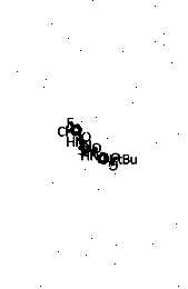 CC(C)(C)OC(=O)N1CCC(NC(=O)c2csc(NC(=O)c3ccc(F)c(Cl)c3)n2)CC1